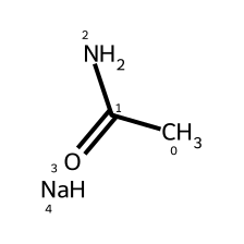 CC(N)=O.[NaH]